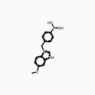 COc1ccc2c(c1)[nH]c[n+]2Cc1ccc(B(O)O)cc1